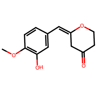 COc1ccc(/C=C2\CC(=O)CCO2)cc1O